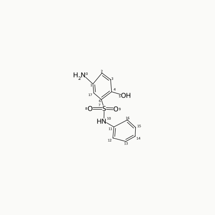 Nc1ccc(O)c(S(=O)(=O)Nc2ccccc2)c1